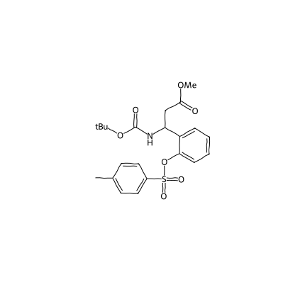 COC(=O)CC(NC(=O)OC(C)(C)C)c1ccccc1OS(=O)(=O)c1ccc(C)cc1